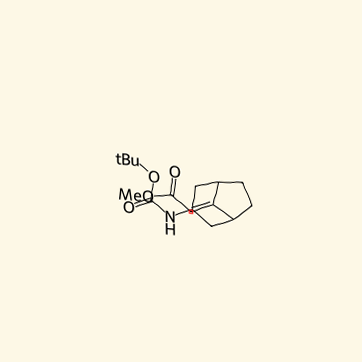 COC(=O)C=C1C2CCC1CC(NC(=O)OC(C)(C)C)C2